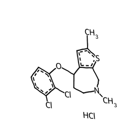 Cc1cc2c(s1)CN(C)CCC2Oc1cccc(Cl)c1Cl.Cl